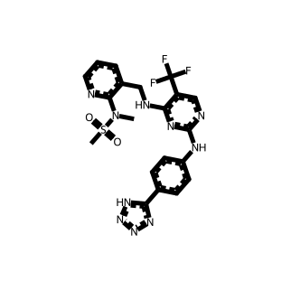 CN(c1ncccc1CNc1nc(Nc2ccc(-c3nnn[nH]3)cc2)ncc1C(F)(F)F)S(C)(=O)=O